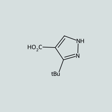 CC(C)(C)c1n[nH]cc1C(=O)O